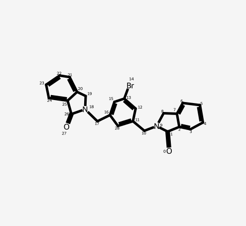 O=C1c2ccccc2CN1Cc1cc(Br)cc(CN2Cc3ccccc3C2=O)c1